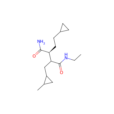 CCNC(=O)C(CC1CC1C)[C@H](CCC1CC1)C(N)=O